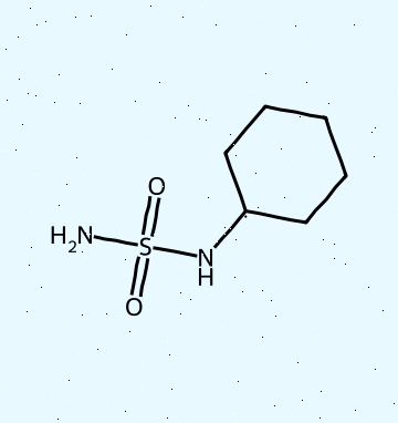 NS(=O)(=O)N[C]1CCCCC1